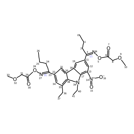 CCC/C(=N/OC(=O)COC)c1cc([N+](=O)[O-])c2c(c1)c1cc(/C(CCC)=N/OC(=O)COC)cc(CC)c1n2CC